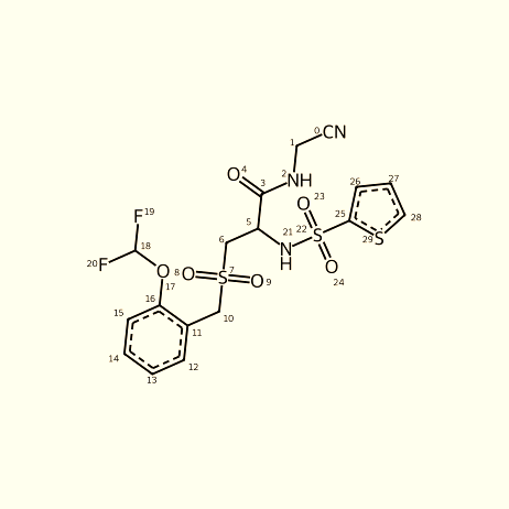 N#CCNC(=O)C(CS(=O)(=O)Cc1ccccc1OC(F)F)NS(=O)(=O)c1cccs1